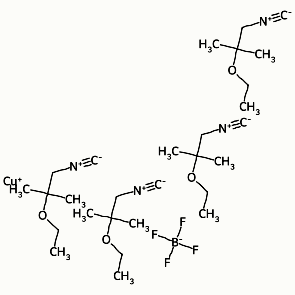 F[B-](F)(F)F.[C-]#[N+]CC(C)(C)OCC.[C-]#[N+]CC(C)(C)OCC.[C-]#[N+]CC(C)(C)OCC.[C-]#[N+]CC(C)(C)OCC.[Cu+]